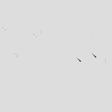 CCOc1nc(C#N)nc2c1CC[C@H]1[C@H](C)C(=O)CC[C@]21C